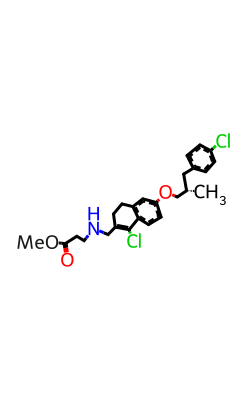 COC(=O)CCNCC1=C(Cl)c2ccc(OC[C@@H](C)Cc3ccc(Cl)cc3)cc2CC1